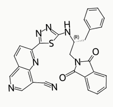 N#Cc1cncc2ccc(-c3nnc(N[C@H](Cc4ccccc4)CN4C(=O)c5ccccc5C4=O)s3)nc12